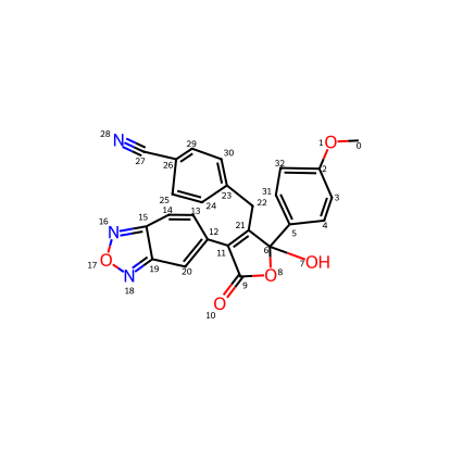 COc1ccc(C2(O)OC(=O)C(c3ccc4nonc4c3)=C2Cc2ccc(C#N)cc2)cc1